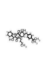 CCCCN1C(=O)[C@@H]([C@H](O)C2CCCCC2)NC(=O)C12CCN(Cc1ccc(C(C)C)cc1)CC2.Cl